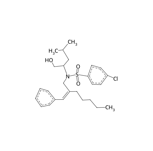 CCCCC/C(=C/c1ccccc1)CN(C(CO)CC(C)C)S(=O)(=O)c1ccc(Cl)cc1